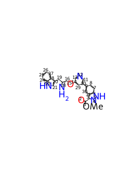 COC(=O)c1n[nH]c2ccc(-c3cncc(OC[C@H](N)Cc4c[nH]c5ccccc45)c3)cc12